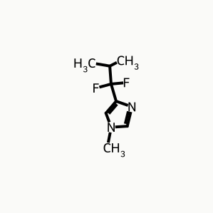 CC(C)C(F)(F)c1cn(C)cn1